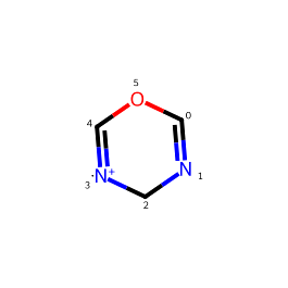 C1=NC[N+]=CO1